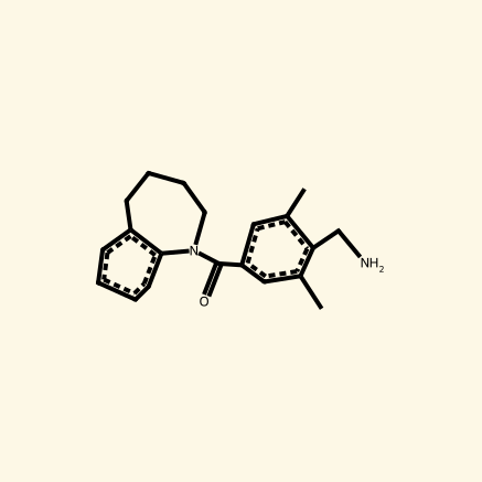 Cc1cc(C(=O)N2CCCCc3ccccc32)cc(C)c1CN